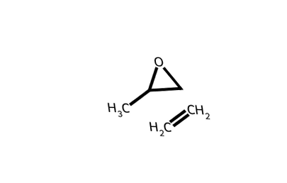 C=C.CC1CO1